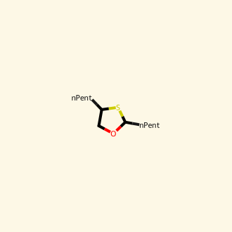 CCCCCC1COC(CCCCC)S1